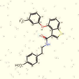 O=C(O)c1ccc(CCNC(=O)c2csc3cccc(Oc4cccc(C(F)(F)F)c4)c23)cc1